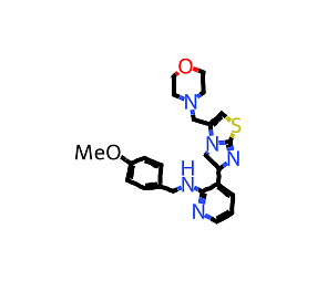 COc1ccc(CNc2ncccc2C2CN3C(CN4CCOCC4)=CSC3=N2)cc1